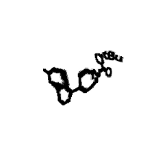 Cc1ccc2c(C3=CCN(C(=O)OC(C)(C)C)CC3)cccc2c1